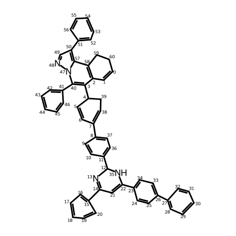 C1=Cc2c(C3C=CC(c4ccc(C5N=C(c6ccccc6)C=C(c6ccc(-c7ccccc7)cc6)N5)cc4)=CC3)c(-c3ccccc3)n3ncc(-c4ccccc4)c3c2CC1